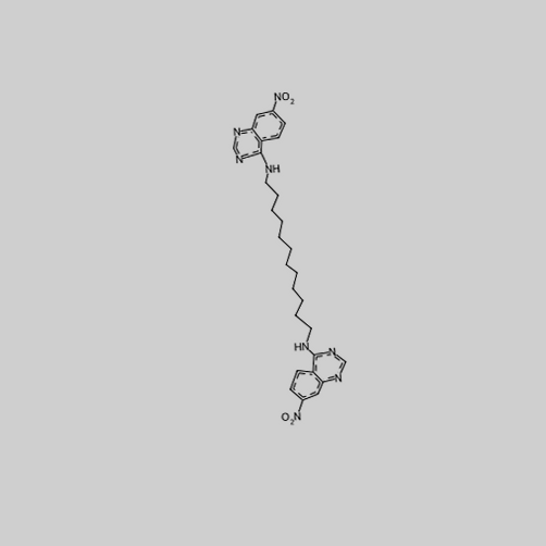 O=[N+]([O-])c1ccc2c(NCCCCCCCCCCCCNc3ncnc4cc([N+](=O)[O-])ccc34)ncnc2c1